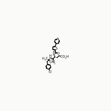 CC(C)(Cc1ccc(Cl)cc1)NC(=O)[C@H](CCC(=O)O)NC(=O)c1ccc(-c2ccncc2)s1